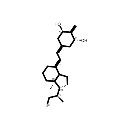 C=C1[C@H](O)CC(=C/C=C2\CCC[C@@]3(C)C2CC[C@@H]3[C@@H](C)CC(C)C)C[C@H]1O